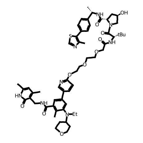 CCN(c1cc(-c2ccc(OCCOCCOCC(=O)N[C@H](C(=O)N3C[C@H](O)C[C@H]3C(=O)N[C@@H](C)c3ccc(-c4scnc4C)cc3)C(C)(C)C)nc2)cc(C(=O)NCc2c(C)cc(C)[nH]c2=O)c1C)C1CCOCC1